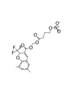 Cc1cc(C)c2c(c1)C=C(C(=O)OCOC(=O)CCCO[N+](=O)[O-])C(C(F)(F)F)O2